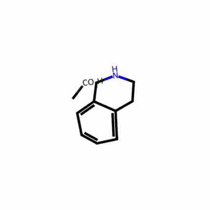 CC(=O)O.c1ccc2c(c1)CCNC2